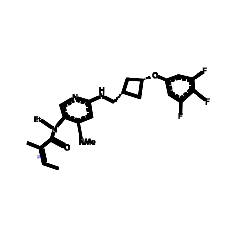 C/C=C(/C)C(=O)N(CC)c1cnc(NC[C@H]2C[C@@H](Oc3cc(F)c(F)c(F)c3)C2)cc1NC